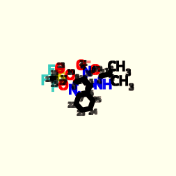 CC(C)CNc1c2c(nc(OS(=O)(=O)C(F)(F)F)c1[N+](=O)[O-])CCCC2